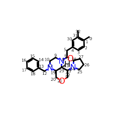 Cc1ccc(CC(=O)N2CCN(Cc3ccccc3)C3COCC(N4CCCC4)[C@H]32)cc1C